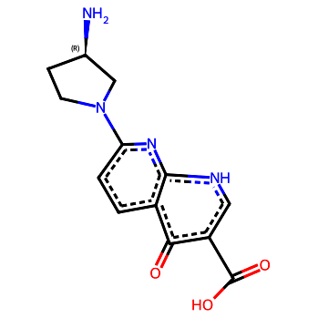 N[C@@H]1CCN(c2ccc3c(=O)c(C(=O)O)c[nH]c3n2)C1